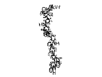 C[C@H]1CN(C(=O)Nc2cccc(CS(=O)(=O)N3CC[C@H](Nc4cccc(-c5sc(C(=O)O)c(OCC(=O)O)c5Cl)c4)CC3(C)C)c2)CCN1c1ccc2c(c1)n(C)c(=O)n2C1CCC(=O)NC1=O